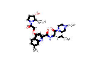 CCOC(=O)N1CCN(C(=O)[C@H](CCC(=O)O)NC(=O)c2cc(OCC(=O)N3CC[C@H](O)[C@H]3C(=O)O)c3ccc(C)cc3n2)CC1